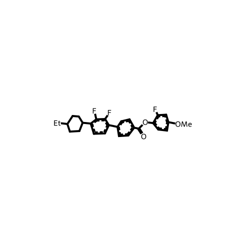 CCC1CCC(c2ccc(-c3ccc(C(=O)Oc4ccc(OC)cc4F)cc3)c(F)c2F)CC1